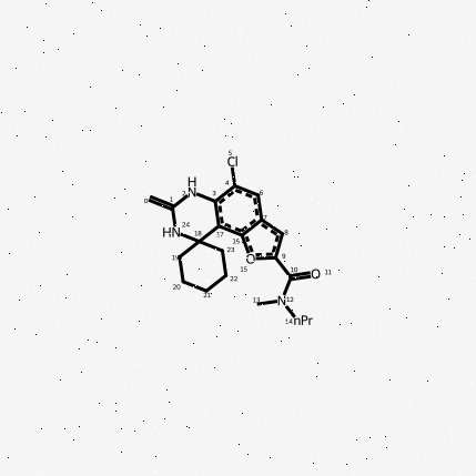 C=C1Nc2c(Cl)cc3cc(C(=O)N(C)CCC)oc3c2C2(CCCCC2)N1